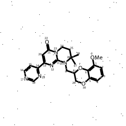 COc1cccc2c1OC(CN1c3nc(-c4ccncn4)cc(=O)n3CCC1(C)C)CO2